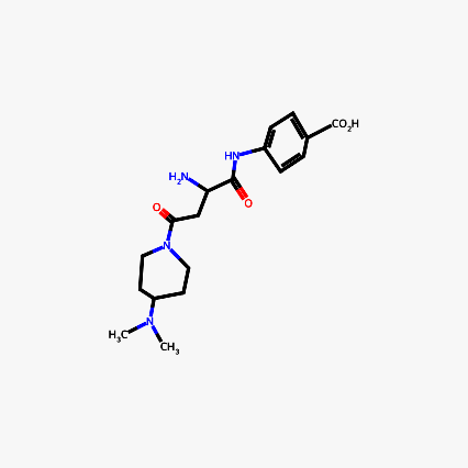 CN(C)C1CCN(C(=O)CC(N)C(=O)Nc2ccc(C(=O)O)cc2)CC1